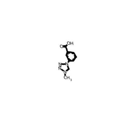 CN1CN(c2cccc(C(=O)O)c2)N=N1